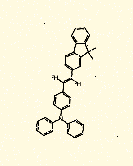 [2H]/C(=C(/[2H])c1ccc2c(c1)C(C)(C)c1ccccc1-2)c1ccc(N(c2ccccc2)c2ccccc2)cc1